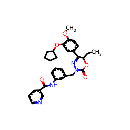 CCC1OC(=O)N(Cc2cccc(NC(=O)c3cccnc3)c2)N=C1c1ccc(OC)c(OC2CCCC2)c1